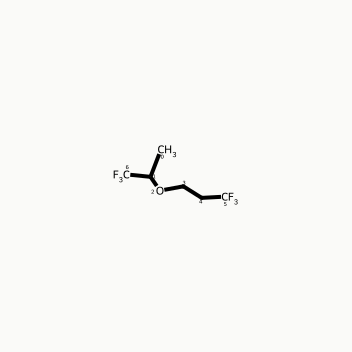 CC(OCCC(F)(F)F)C(F)(F)F